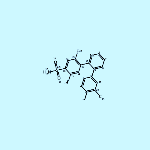 Cc1ccc(-c2cccnc2-c2cc(F)c(S(N)(=O)=O)cc2F)cc1Cl